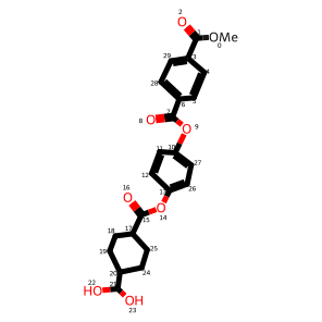 COC(=O)c1ccc(C(=O)Oc2ccc(OC(=O)C3CCC(C(O)O)CC3)cc2)cc1